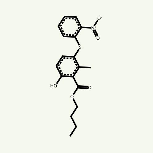 CCCCOC(=O)c1c(O)ccc(Sc2ccccc2[N+](=O)[O-])c1C